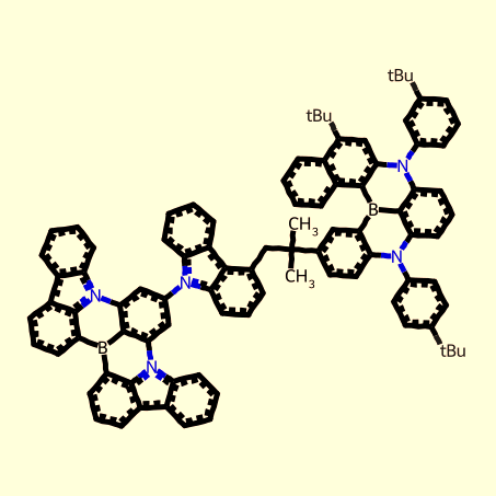 CC(C)(C)c1ccc(N2c3ccc(C(C)(C)Cc4cccc5c4c4ccccc4n5-c4cc5c6c(c4)-n4c7ccccc7c7cccc(c74)B6c4cccc6c7ccccc7n-5c46)cc3B3c4c2cccc4N(c2cccc(C(C)(C)C)c2)c2cc(C(C)(C)C)c4ccccc4c23)cc1